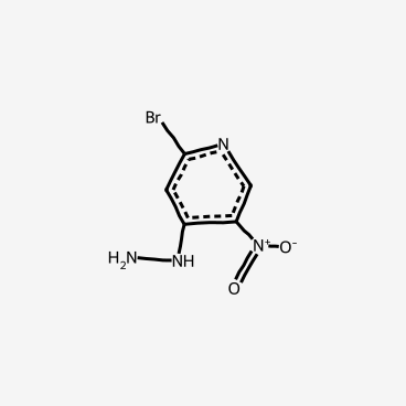 NNc1cc(Br)ncc1[N+](=O)[O-]